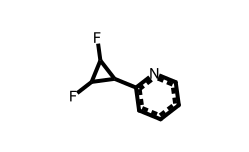 FC1C(F)C1c1ccccn1